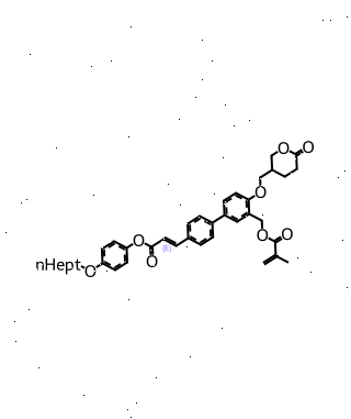 C=C(C)C(=O)OCc1cc(-c2ccc(/C=C/C(=O)Oc3ccc(OCCCCCCC)cc3)cc2)ccc1OCC1CCC(=O)OC1